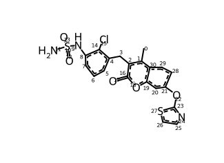 Cc1c(Cc2cccc(NS(N)(=O)=O)c2Cl)c(=O)oc2cc(Oc3nccs3)ccc12